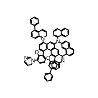 C1=CN=CN(c2cccc3c2oc2cc(N4CC=Cc5c(-c6ccccc6)cccc54)c4cc(N(c5ccccc5)c5cccc6ccccc56)c5cc(/C(=N\c6ccccc6)c6ccccc6)c6c7ccc(-c8ccccc8)cc7oc6c5c4c23)C1